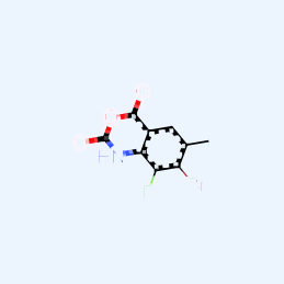 Cc1cc2c(=O)oc(=O)[nH]c2c(F)c1Br